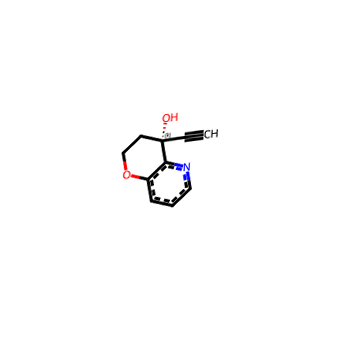 C#C[C@]1(O)CCOc2cccnc21